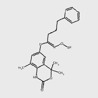 Cc1cc(OC(CCCc2ccccc2)=NOS)cc2c1NC(=O)OC2(C)C